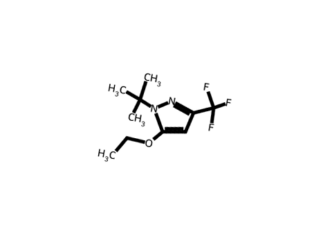 CCOc1cc(C(F)(F)F)nn1C(C)(C)C